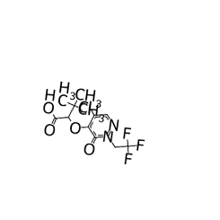 CC(C)(C)C(Oc1c(Cl)cnn(CC(F)(F)F)c1=O)C(=O)O